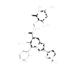 Cc1cc(C)c(CNC(=O)c2cc3cc(-c4ccn(C)n4)cn3c(N3CCOCC3)c2C)c(=O)[nH]1